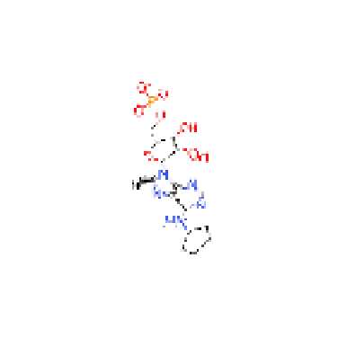 O=P([O-])([O-])OC[C@H]1O[C@@H](n2cnc3c(NC4CCCC4)ncnc32)[C@H](O)[C@@H]1O.[Na+].[Na+]